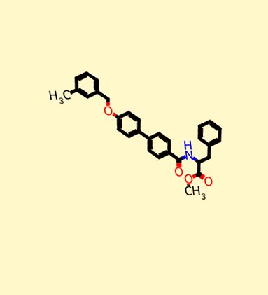 COC(=O)C(Cc1ccccc1)NC(=O)c1ccc(-c2ccc(OCc3cccc(C)c3)cc2)cc1